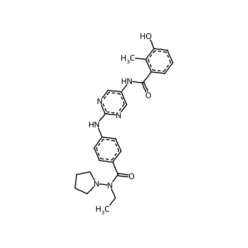 CCN(C(=O)c1ccc(Nc2ncc(NC(=O)c3cccc(O)c3C)cn2)cc1)N1CCCC1